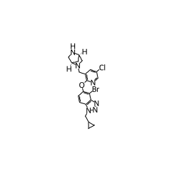 Clc1cnc(Oc2ccc3c(nnn3CC3CC3)c2Br)c(CN2C[C@H]3C[C@@H]2CN3)c1